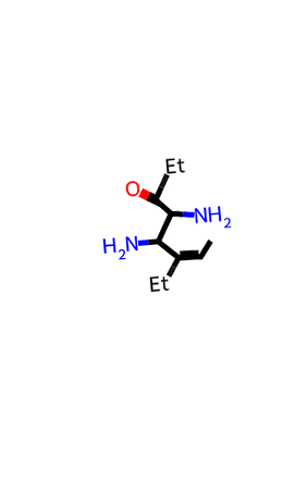 CC=C(CC)C(N)C(N)C(=O)CC